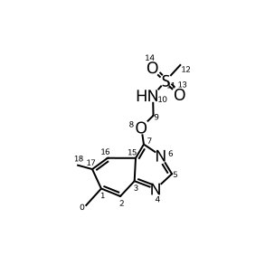 Cc1cc2ncnc(OCNS(C)(=O)=O)c2cc1C